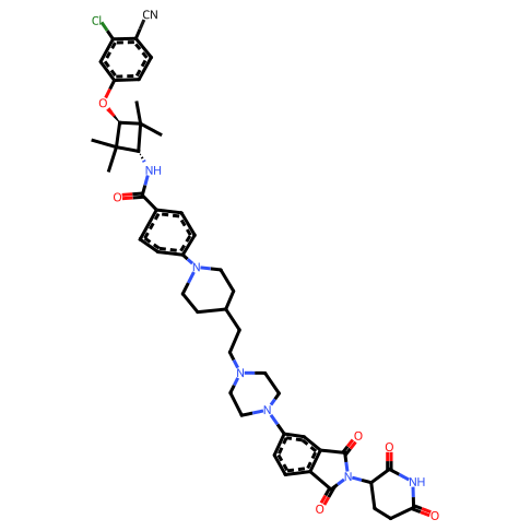 CC1(C)[C@H](NC(=O)c2ccc(N3CCC(CCN4CCN(c5ccc6c(c5)C(=O)N(C5CCC(=O)NC5=O)C6=O)CC4)CC3)cc2)C(C)(C)[C@H]1Oc1ccc(C#N)c(Cl)c1